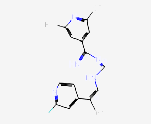 CC(C)/C(=C/N/C=N\C(=N)c1cc(C(F)(F)F)nc(C(F)(F)F)c1)c1ccnc(F)c1